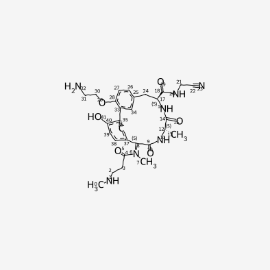 CNCCC(=O)N(C)[C@@H]1C(=O)N[C@@H](C)C(=O)N[C@H](C(=O)NCC#N)Cc2ccc(OCCN)c(c2)-c2cc1ccc2O